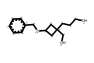 OCCCC1(CO)CC(OCc2ccccc2)C1